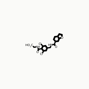 O=C(O)CNC(=O)c1c(Cl)cc(CNC(=O)c2ccc3ccoc3c2)cc1Cl